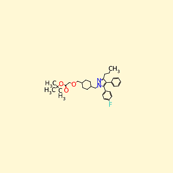 CCCc1nn(CC2CCC(COCC(=O)OC(C)(C)C)CC2)c(-c2ccc(F)cc2)c1-c1ccccc1